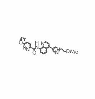 COCCn1cc(-c2ccnc3c(NC(=O)c4ccc(OC(C)C)nn4)cccc23)cn1